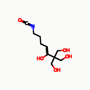 O=C=NCCCC=C(O)C(CO)(CO)CO